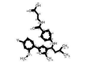 COc1cc(F)ccc1-c1cc(C(CC(C)C)Nc2ccc(C(=O)NCCC(=O)O)cc2)c(C)o1